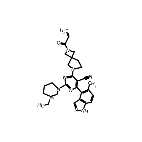 C=CC(=O)N1CC2(CCN(c3nc(N4CCC[C@H](CO)C4)nc(-c4c(C)ccc5[nH]ncc45)c3C#N)C2)C1